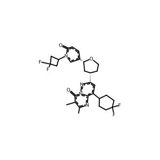 Cc1nc2c(C3CCC(F)(F)CC3)cc([C@H]3CCO[C@@H](c4ccc(=O)n(C5CC(F)(F)C5)c4)C3)nn2c(=O)c1C